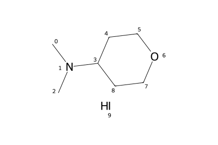 CN(C)C1CCOCC1.I